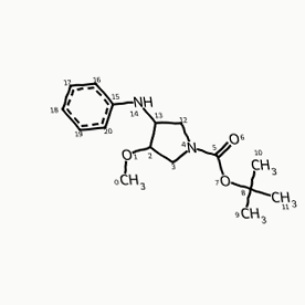 COC1CN(C(=O)OC(C)(C)C)CC1Nc1ccccc1